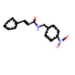 O=C(C=Cc1ccccc1)NCc1ccc([N+](=O)[O-])cc1